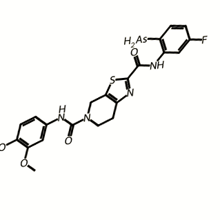 COc1ccc(NC(=O)N2CCc3nc(C(=O)Nc4cc(F)ccc4[AsH2])sc3C2)cc1OC